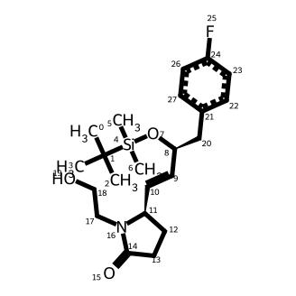 CC(C)(C)[Si](C)(C)O[C@H](/C=C/[C@H]1CCC(=O)N1CCO)Cc1ccc(F)cc1